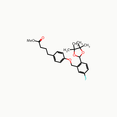 COC(=O)CCCc1ccc(OCc2cc(F)ccc2C2OC(C)(C)C(C)(C)O2)cc1